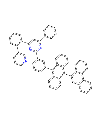 c1ccc(-c2cc(-c3ccccc3-c3cccnc3)nc(-c3cccc(-c4c5ccccc5c(-c5cc6ccccc6c6ccccc56)c5ccccc45)c3)n2)cc1